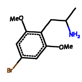 COc1cc(Br)cc(OC)c1CC(C)N